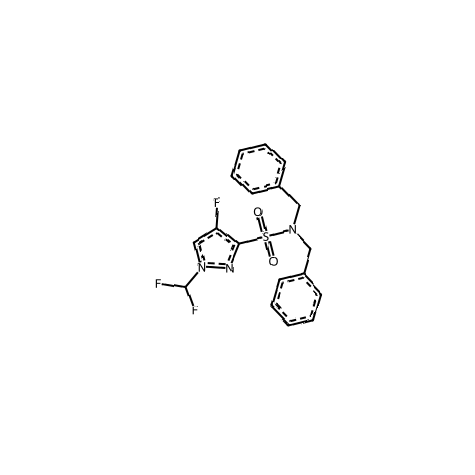 O=S(=O)(c1nn(C(F)F)cc1F)N(Cc1ccccc1)Cc1ccccc1